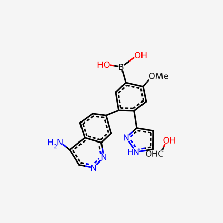 COc1cc(-c2cc[nH]n2)c(-c2ccc3c(N)cnnc3c2)cc1B(O)O.O=CO